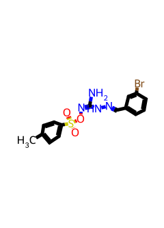 Cc1ccc(S(=O)(=O)ON=C(N)NN=Cc2cccc(Br)c2)cc1